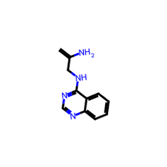 C=C(N)CNc1ncnc2ccccc12